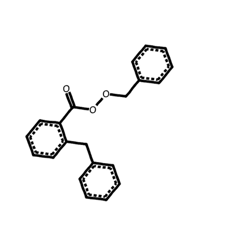 O=C(OOCc1ccccc1)c1ccccc1Cc1ccccc1